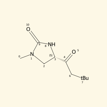 CN1C[C@@H](C(=O)CC(C)(C)C)NC1=O